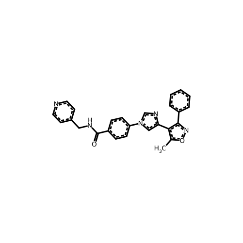 Cc1onc(-c2ccccc2)c1-c1cn(-c2ccc(C(=O)NCc3ccncc3)cc2)cn1